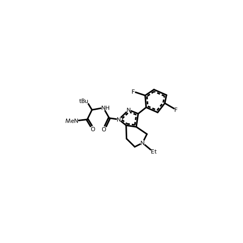 CCN1CCc2c(c(-c3cc(F)ccc3F)nn2C(=O)NC(C(=O)NC)C(C)(C)C)C1